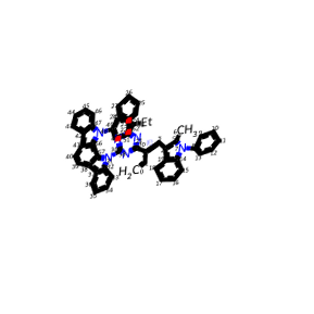 C=C/C(=C\c1c(C)n(-c2ccccc2)c2ccccc12)c1nc(-c2ccccc2)nc(-n2c3ccccc3c3ccc4c5ccccc5n(-c5ccc(CC)cc5)c4c32)n1